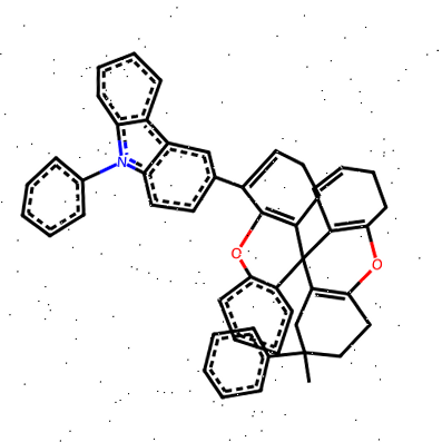 CC1(c2ccccc2)CCC2=C(C1)C1(C3=C(CCC=C3)O2)C2=C(Oc3ccccc31)C(c1ccc3c(c1)c1ccccc1n3-c1ccccc1)=CCC2